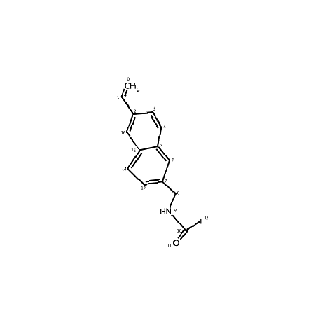 C=Cc1ccc2cc(CNC(=O)I)ccc2c1